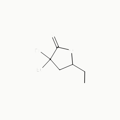 CCC1(CC)CC(CI)OC1=O